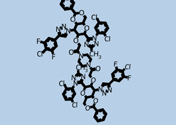 Cc1nc(C2OC3COC(c4ccccc4)OC3C(n3cc(-c4cc(F)c(Cl)c(F)c4)nn3)C2OCC(=O)N2CCN(C(=O)COC3C(c4nc(C)nn4-c4cc(Cl)ccc4Cl)OC4COC(c5ccccc5)OC4C3n3cc(-c4cc(F)c(Cl)c(F)c4)nn3)CC2)n(-c2cc(Cl)ccc2Cl)n1